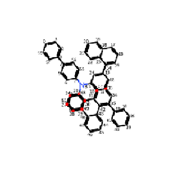 c1ccc(-c2ccc(N(c3cccc(-c4cccc5ccccc45)c3)c3ccccc3-c3cccc(-c4ccccc4)c3-c3ccccc3-c3ccccc3)cc2)cc1